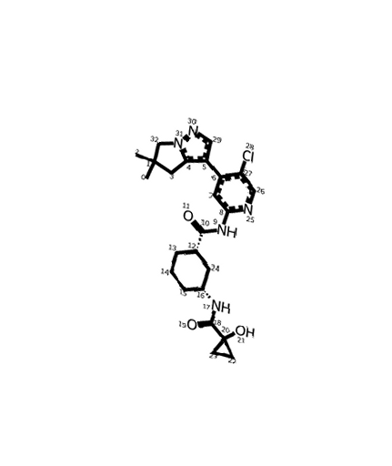 CC1(C)Cc2c(-c3cc(NC(=O)[C@H]4CCC[C@@H](NC(=O)C5(O)CC5)C4)ncc3Cl)cnn2C1